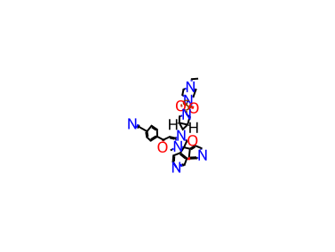 CCN1CCN(S(=O)(=O)N2C[C@@H]3[C@H](C2)[C@H]3N2C(=O)C(c3ccncc3)(c3ccncc3)N(C)C2=CC(=O)c2ccc(C#N)cc2)CC1